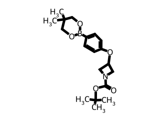 CC1(C)COB(c2ccc(OC3CN(C(=O)OC(C)(C)C)C3)cc2)OC1